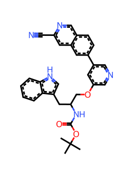 CC(C)(C)OC(=O)NC(COc1cncc(-c2ccc3cnc(C#N)cc3c2)c1)Cc1c[nH]c2ccccc12